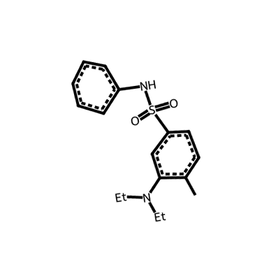 CCN(CC)c1cc(S(=O)(=O)Nc2ccccc2)ccc1C